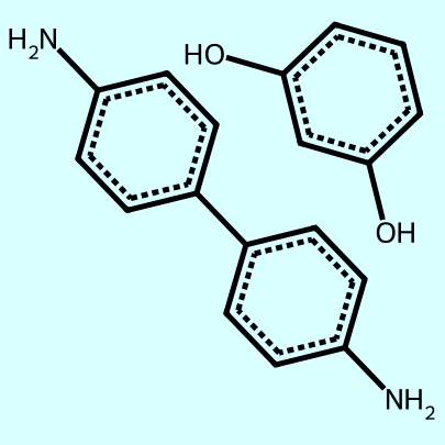 Nc1ccc(-c2ccc(N)cc2)cc1.Oc1cccc(O)c1